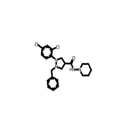 O=C(NN1CCCCC1)C1CN(Cc2ccccc2)N(c2ccc(Cl)cc2Cl)C1